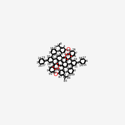 CC(C)c1cc2c3c(c1)-c1cc(-c4c(-c5ccccc5)cc(-c5ccccc5)cc4-c4ccccc4)c4cc5c6c(cc(-c7c(-c8ccccc8)cc(-c8ccccc8)cc7-c7ccccc7)c7cc(c1c4c76)B3c1ccccc1O2)-c1cc(C(C)C)cc2c1B5c1ccccc1O2